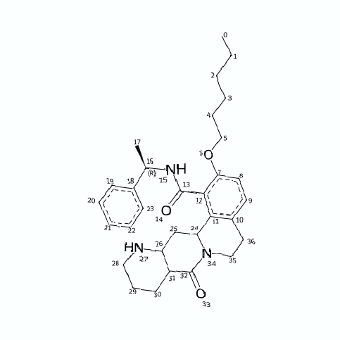 CCCCCCOc1ccc2c(c1C(=O)N[C@H](C)c1ccccc1)C1CC3NCCCC3C(=O)N1CC2